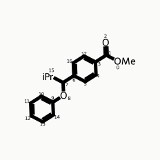 COC(=O)c1ccc(C(Oc2ccccc2)C(C)C)cc1